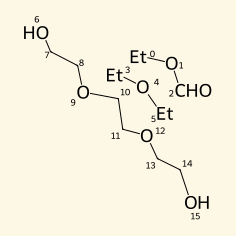 CCOC=O.CCOCC.OCCOCCOCCO